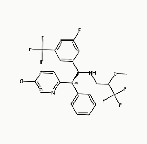 COC(CNC(c1cc(F)cc(C(F)(F)F)c1)[C@@H](c1ccccc1)c1ccc(Cl)cn1)C(F)(F)F